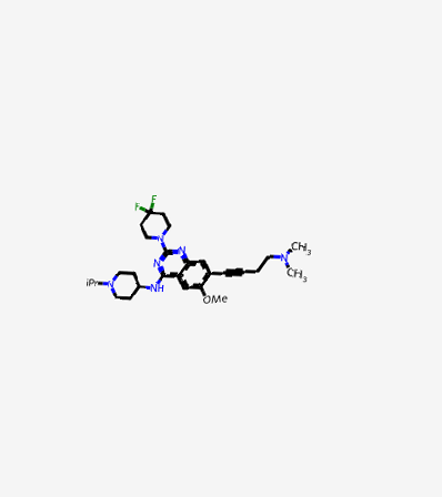 COc1cc2c(NC3CCN(C(C)C)CC3)nc(N3CCC(F)(F)CC3)nc2cc1C#CCCN(C)C